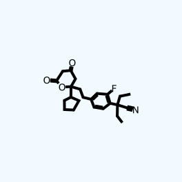 CCC(C#N)(CC)c1ccc(CCC2(C3CCCC3)CC(=O)CC(=O)O2)cc1F